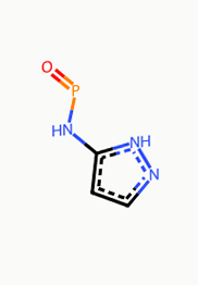 O=PNc1ccn[nH]1